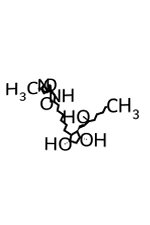 CCCCC[C@H](O)/C=C/[C@@H]1C(CCCCCCC(=O)Nc2cc(C)no2)[C@@H](O)C[C@H]1O